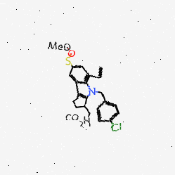 C=Cc1cc(SOOC)cc2c3c(n(Cc4ccc(Cl)cc4)c12)C(CC(=O)O)CC3